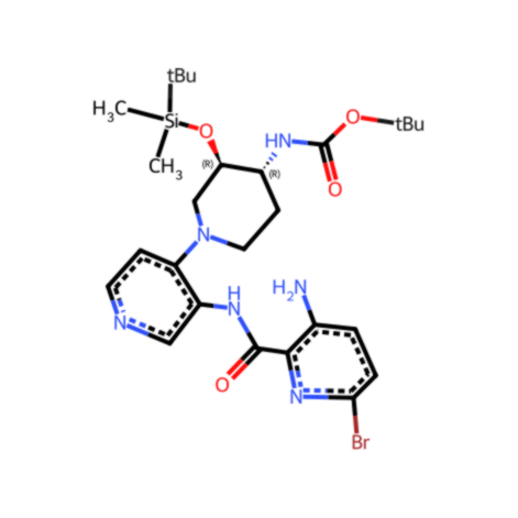 CC(C)(C)OC(=O)N[C@@H]1CCN(c2ccncc2NC(=O)c2nc(Br)ccc2N)C[C@H]1O[Si](C)(C)C(C)(C)C